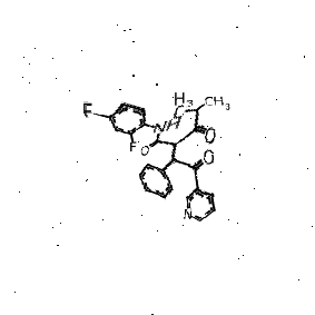 CC(C)C(=O)C(C(=O)Nc1ccc(F)cc1F)C(C(=O)c1cccnc1)c1ccccc1